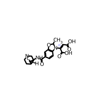 CC1Oc2cc(C(=O)N[C@H]3CN4CCC3CC4)ccc2N1/C(=C/C(=O)O)C(=O)O